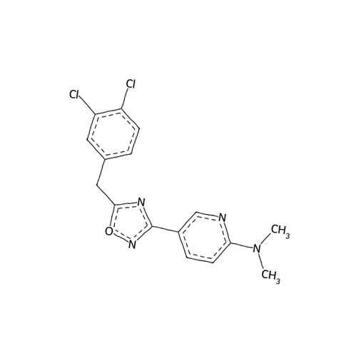 CN(C)c1ccc(-c2noc(Cc3ccc(Cl)c(Cl)c3)n2)cn1